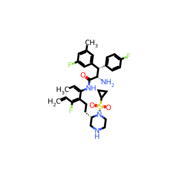 C=C/C(F)=C(CC[C@H]1CNCCN1S(=O)(=O)C1CC1)\C(=C/C)NC(=O)[C@@H](N)[C@@H](c1ccc(F)cc1)c1cc(C)cc(F)c1